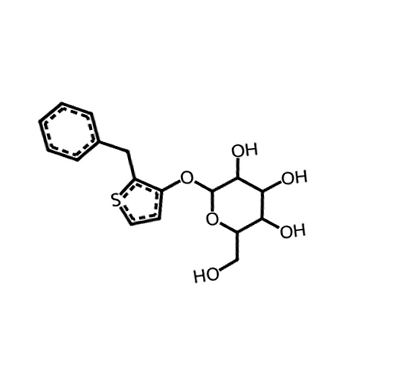 OCC1OC(Oc2ccsc2Cc2ccccc2)C(O)C(O)C1O